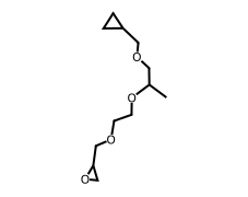 CC(COCC1CC1)OCCOCC1CO1